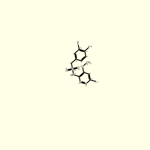 COc1cc(I)nnc1NS(=O)(=O)Cc1ccc(F)c(F)c1